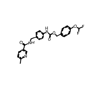 Cc1ccc(C(=O)NCc2ccc(NC(=O)OCc3ccc(OC(F)F)cc3)cc2)cn1